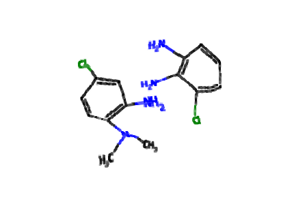 CN(C)c1ccc(Cl)cc1N.Nc1cccc(Cl)c1N